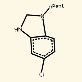 CCCCCN1CNc2cc(Cl)ccc21